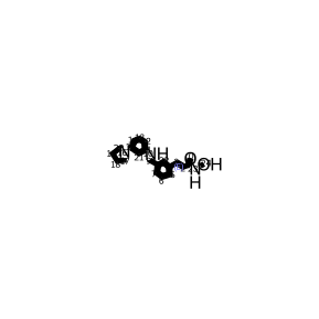 O=C(/C=C/c1cccc(CNc2cccc(N3CCCC3)c2)c1)NO